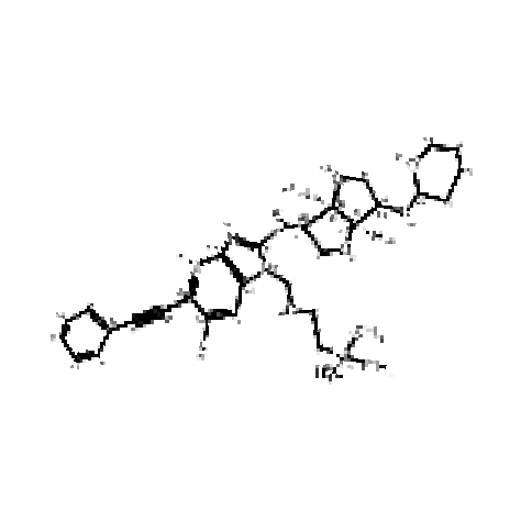 C[Si](C)(C)CCOCn1c(O[C@@H]2CO[C@H]3[C@@H]2OC[C@H]3OC2CCCCO2)nc2nc(C#Cc3ccccc3)c(Cl)cc21